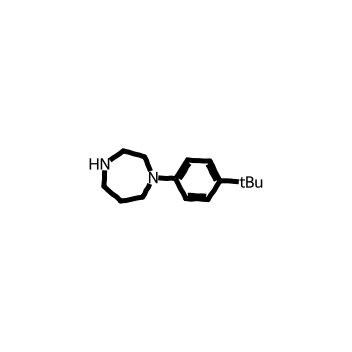 CC(C)(C)c1ccc(N2CCCNCC2)cc1